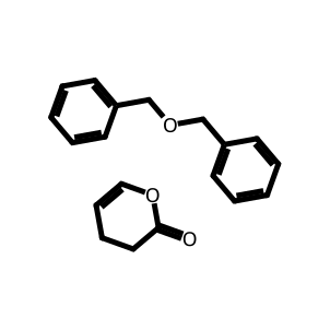 O=C1CCC=CO1.c1ccc(COCc2ccccc2)cc1